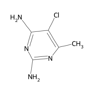 Cc1nc(N)nc(N)c1Cl